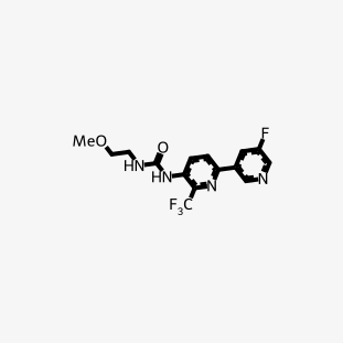 COCCNC(=O)Nc1ccc(-c2cncc(F)c2)nc1C(F)(F)F